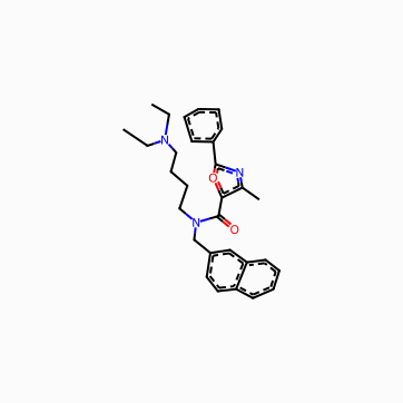 CCN(CC)CCCCN(Cc1ccc2ccccc2c1)C(=O)c1oc(-c2ccccc2)nc1C